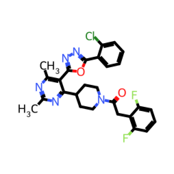 Cc1nc(C)c(-c2nnc(-c3ccccc3Cl)o2)c(C2CCN(C(=O)Cc3c(F)cccc3F)CC2)n1